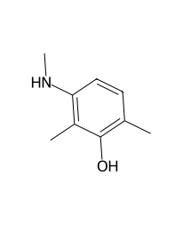 CNc1ccc(C)c(O)c1C